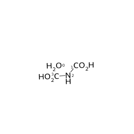 O.O=C(O)NC(=O)O